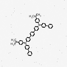 CN(C)c1ccc(N(c2ccc(-c3ccccc3)cc2)c2ccc(-c3ccc(-c4ccc(N(c5ccc(-c6ccccc6)cc5)c5ccc(N(C)C)cc5)cc4)cc3)cc2)cc1